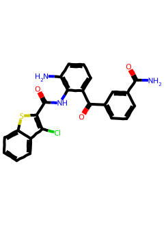 NC(=O)c1cccc(C(=O)c2cccc(N)c2NC(=O)c2sc3ccccc3c2Cl)c1